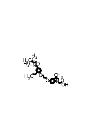 CCCc1cc(-c2nc(C(C)(C)C)co2)ccc1OCCCOc1ccc2c(c1)c(C)cn2CC(=O)O